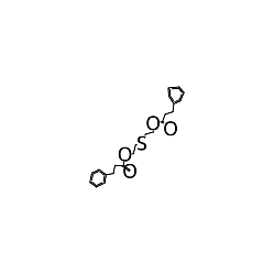 O=C(CCc1ccccc1)OCCSCCOC(=O)CCc1ccccc1